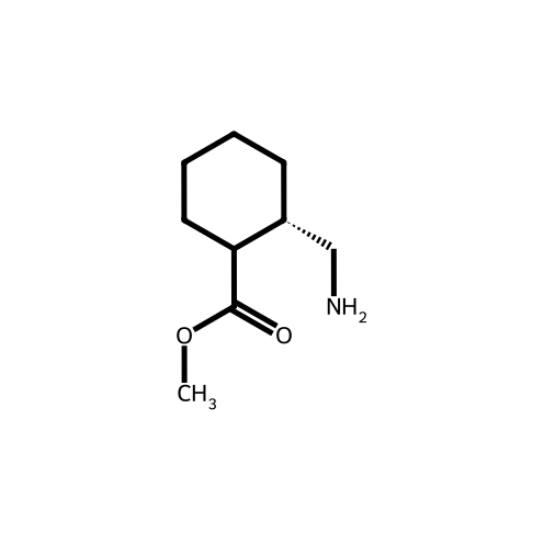 COC(=O)C1CCCC[C@@H]1CN